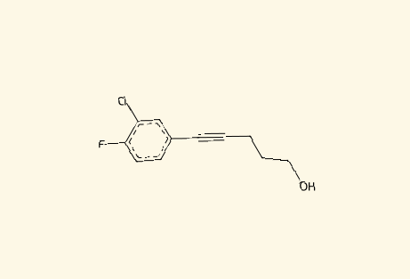 OCCCC#Cc1ccc(F)c(Cl)c1